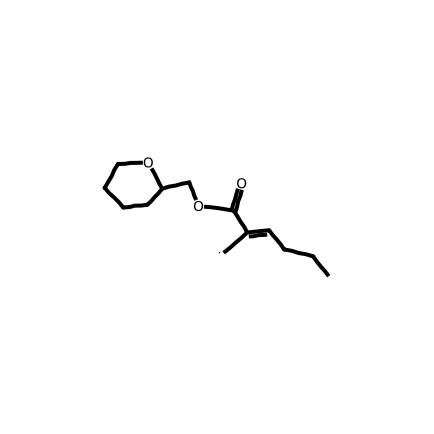 [CH2]/C(=C\CCC)C(=O)OCC1CCCCO1